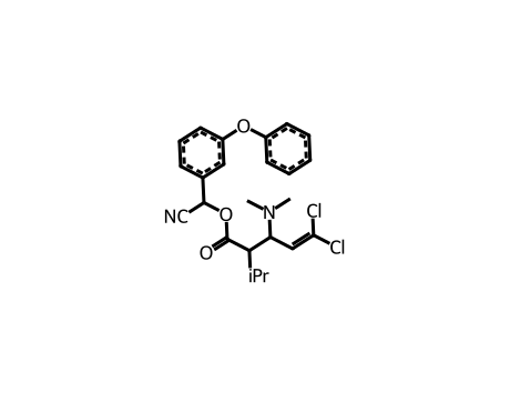 CC(C)C(C(=O)OC(C#N)c1cccc(Oc2ccccc2)c1)C(C=C(Cl)Cl)N(C)C